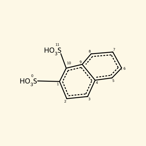 O=S(=O)(O)c1ccc2c[c]ccc2c1S(=O)(=O)O